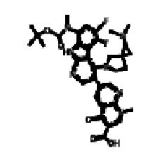 CN(C(=O)OC(C)(C)C)c1cc(F)c(F)c2c1[nH]c1ncc(-c3cnc4c(c3)c(=O)c(C(=O)O)cn4C)c(N3CCC4(CC4N(C)C)C3)c12